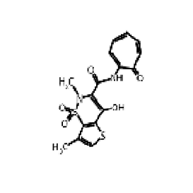 Cc1csc2c1S(=O)(=O)N(C)C(C(=O)Nc1cccccc1=O)=C2O